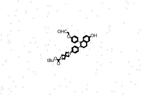 CC(C)(C)OC(=O)N1CC2(C1)CN(c1ccc([C@H]3CCc4cc(O)ccc4[C@H]3c3ccc(OCC=O)cc3)cc1)C2